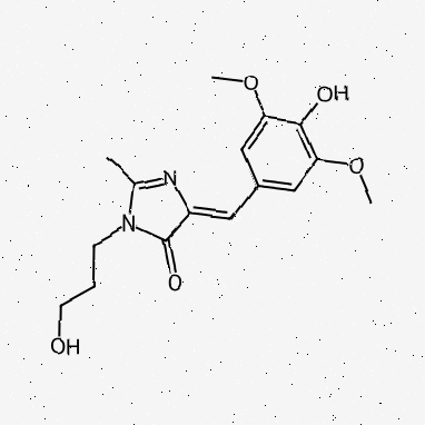 COc1cc(/C=C2\N=C(C)N(CCCO)C2=O)cc(OC)c1O